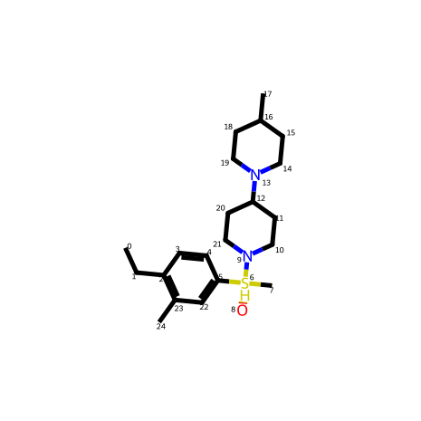 CCc1ccc([SH](C)(=O)N2CCC(N3CCC(C)CC3)CC2)cc1C